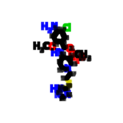 COc1cc(N)c(Cl)cc1C(=O)N[C@@H]1CCN(CCSc2ncn[nH]2)C[C@@H]1OC.O